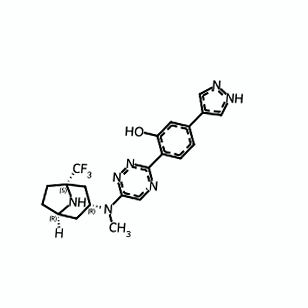 CN(c1cnc(-c2ccc(-c3cn[nH]c3)cc2O)nn1)[C@@H]1C[C@H]2CC[C@@](C(F)(F)F)(C1)N2